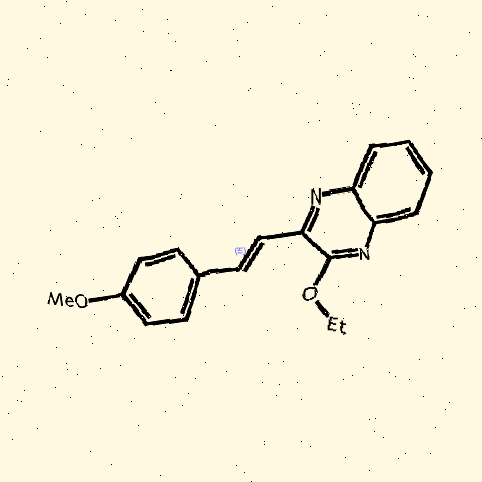 CCOc1nc2ccccc2nc1/C=C/c1ccc(OC)cc1